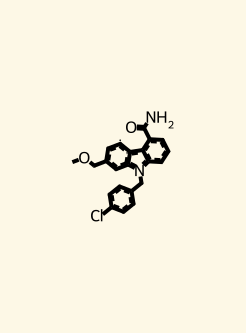 COCc1c[c]c2c3c(C(N)=O)cccc3n(Cc3ccc(Cl)cc3)c2c1